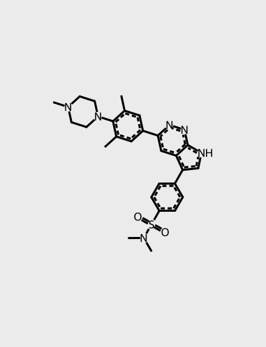 Cc1cc(-c2cc3c(-c4ccc(S(=O)(=O)N(C)C)cc4)c[nH]c3nn2)cc(C)c1N1CCN(C)CC1